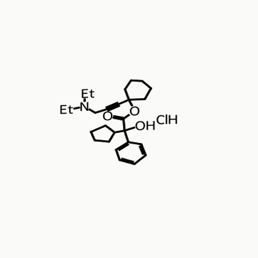 CCN(CC)CC#CC1(OC(=O)C(O)(c2ccccc2)C2CCCC2)CCCCC1.Cl